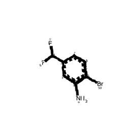 Nc1cc(C(F)F)ccc1Br